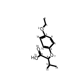 CCOc1ccc(OC(C(=O)O)C(C)C)cc1